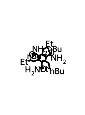 CCCCC(CC)Cc1c(C(N)=O)c(CC(CC)CCCC)c(C(N)=O)c(CC(CC)CCCC)c1C(N)=O